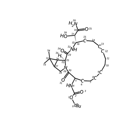 CC(C)(C)OC(=O)NC1CCCCCCCCCC[C@@H](C(O)C(N)=O)NC(=O)[C@@H]2C3C(CN2C1=O)C3(C)C